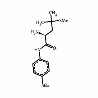 CCCCc1ccc(NC(=O)[C@@H](N)CC(C)(C)SC)cc1